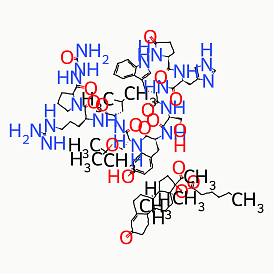 CC(C)C[C@H](NC(=O)[C@@H](COC(C)(C)C)NC(=O)[C@H](Cc1ccc(O)cc1)NC(=O)[C@H](CO)NC(=O)[C@H](Cc1c[nH]c2ccccc12)NC(=O)[C@H](Cc1c[nH]cn1)NC(=O)[C@@H]1CCC(=O)N1)C(=O)N[C@@H](CCCNC(=N)N)C(=O)N1CCC[C@H]1C(=O)NNC(N)=O.CCCCCC(=O)O[C@]1(C(C)=O)CC[C@H]2[C@@H]3CCC4=CC(=O)CC[C@]4(C)[C@H]3CC[C@@]21C